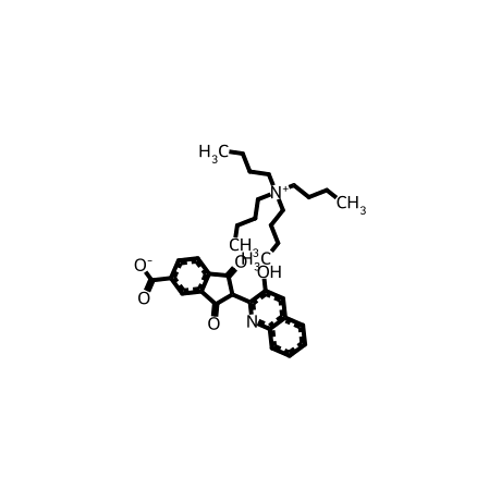 CCCC[N+](CCCC)(CCCC)CCCC.O=C([O-])c1ccc2c(c1)C(=O)C(c1nc3ccccc3cc1O)C2=O